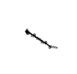 COC(=O)CCCCCCC(=O)NCCCOCCOCCOCCCNC(=O)CCCCCCC(=O)ON1C(=O)CCC1=O